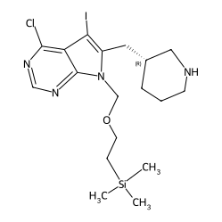 C[Si](C)(C)CCOCn1c(C[C@H]2CCCNC2)c(I)c2c(Cl)ncnc21